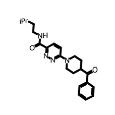 CC(C)CCNC(=O)c1ccc(N2CCC(C(=O)c3ccccc3)CC2)nn1